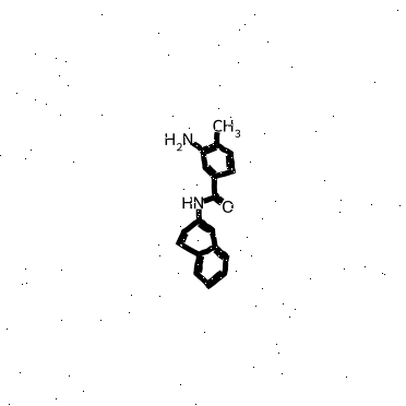 Cc1ccc(C(=O)Nc2ccc3ccccc3c2)cc1N